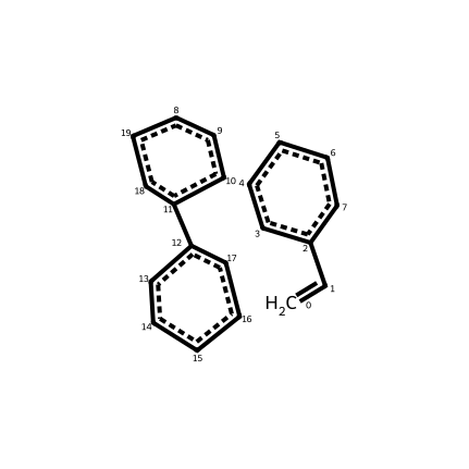 C=Cc1ccccc1.c1ccc(-c2ccccc2)cc1